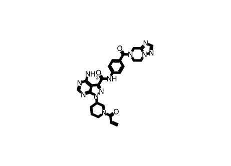 C=CC(=O)N1CCCC(n2nc(C(=O)Nc3ccc(C(=O)N4CCn5ncnc5C4)cc3)c3c(N)ncnc32)C1